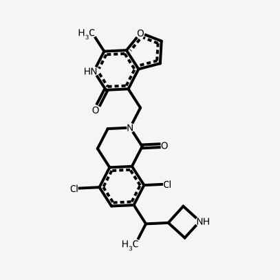 Cc1[nH]c(=O)c(CN2CCc3c(Cl)cc(C(C)C4CNC4)c(Cl)c3C2=O)c2ccoc12